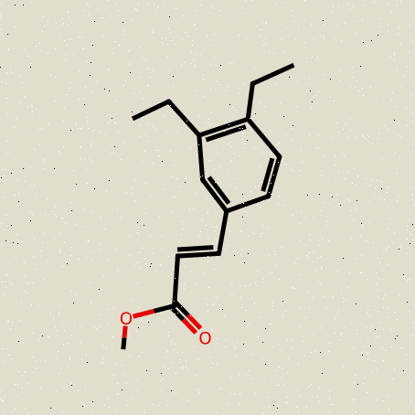 CCc1ccc(/C=C/C(=O)OC)cc1CC